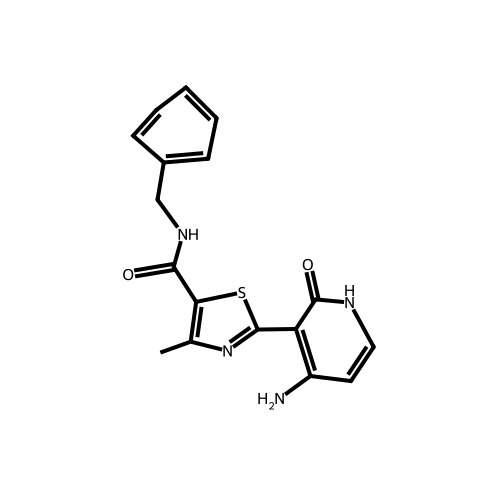 Cc1nc(-c2c(N)cc[nH]c2=O)sc1C(=O)NCc1ccccc1